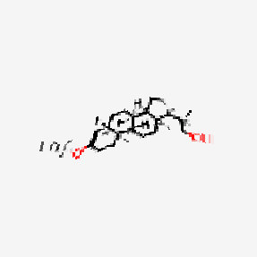 C[C@H](CO)[C@H]1CC[C@H]2[C@@H]3CC[C@H]4C=C(OC(=O)O)CC[C@]4(C)[C@H]3CC[C@]12C